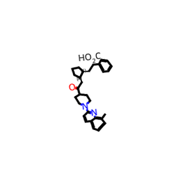 Cc1cccc2ccc(N3CCC(C(=O)C[C@H]4CCC[C@H]4CCc4ccccc4C(=O)O)CC3)nc12